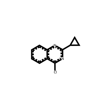 Clc1nc(C2CC2)nc2ccccc12